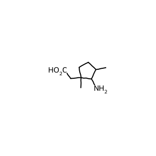 CC1CCC(C)(CC(=O)O)C1N